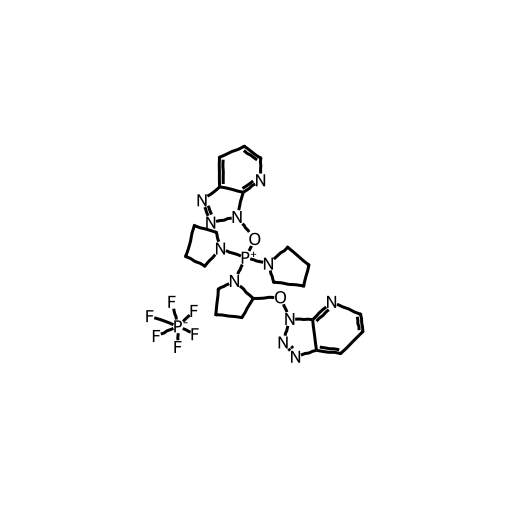 F[P-](F)(F)(F)(F)F.c1cnc2c(c1)nnn2OC1CCCN1[P+](On1nnc2cccnc21)(N1CCCC1)N1CCCC1